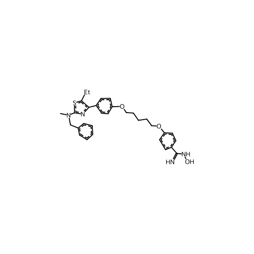 CCc1sc(N(C)Cc2ccccc2)nc1-c1ccc(OCCCCCOc2ccc(C(=N)NO)cc2)cc1